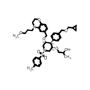 COCCCN1CCOc2ccc(CO[C@H]3CN(S(=O)(=O)c4ccc(C)cc4)C[C@@H](OCC(C)O)[C@@H]3c3ccc(COCC4CC4)cc3)cc21